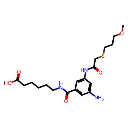 COCCCSCC(=O)Nc1cc(N)cc(C(=O)NCCCCCC(=O)O)c1